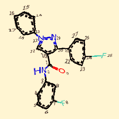 O=C(Nc1cccc(F)c1)c1cn(-c2ccccc2)nc1-c1ccc(F)cc1